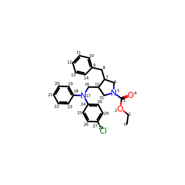 CCOC(=O)N1CC(Cc2ccccc2)C(CN(c2ccccc2)c2ccc(Cl)cc2)C1